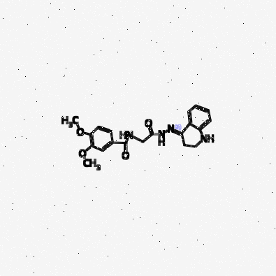 COc1ccc(C(=O)NCC(=O)N/N=C2\CCNc3ccccc32)cc1OC